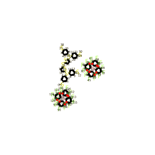 CSc1ccc([S+](c2ccc(SC)cc2)c2ccc(Sc3ccc([S+](c4ccc(SC)cc4)c4ccc(SC)cc4)s3)s2)cc1.Fc1c(F)c(F)c([B-](c2c(F)c(F)c(F)c(F)c2F)(c2c(F)c(F)c(F)c(F)c2F)c2c(F)c(F)c(F)c(F)c2F)c(F)c1F.Fc1c(F)c(F)c([B-](c2c(F)c(F)c(F)c(F)c2F)(c2c(F)c(F)c(F)c(F)c2F)c2c(F)c(F)c(F)c(F)c2F)c(F)c1F